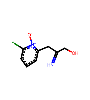 N=C(CO)Cc1cccc(F)[n+]1[O-]